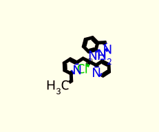 CCc1cccc(C[C@](N)(Cl)c2ncccc2-n2ncc3ccccc32)n1